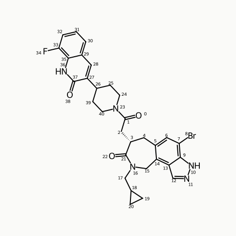 O=C(C[C@@H]1Cc2cc(Br)c3[nH]ncc3c2CN(CC2CC2)C1=O)N1CCC(c2cc3cccc(F)c3[nH]c2=O)CC1